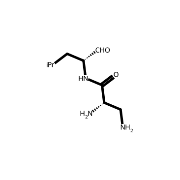 CC(C)C[C@H](C=O)NC(=O)[C@@H](N)CN